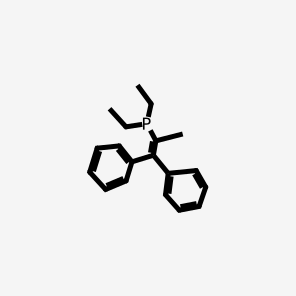 CCP(CC)C(C)=C(c1ccccc1)c1ccccc1